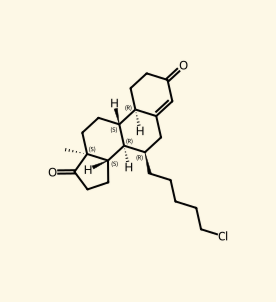 C[C@]12CC[C@H]3[C@@H]([C@H](CCCCCCl)CC4=CC(=O)CC[C@@H]43)[C@@H]1CCC2=O